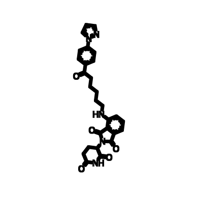 O=C1CCC(N2C(=O)c3cccc(NCCCCCC(=O)c4ccc(-n5cccn5)cc4)c3C2=O)C(=O)N1